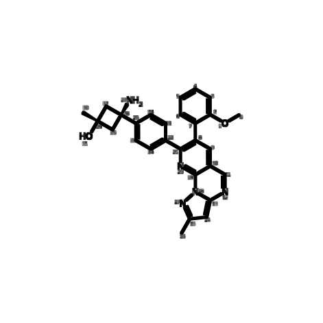 COc1ccccc1-c1cc2cnc3cc(C)nn3c2nc1-c1ccc([C@]2(N)C[C@](C)(O)C2)cc1